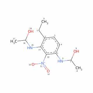 CCc1ccc(NC(C)O)c([N+](=O)[O-])c1NC(C)O